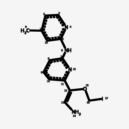 Cc1ccnc(Nc2cccc(/C(=C/N)OCI)n2)c1